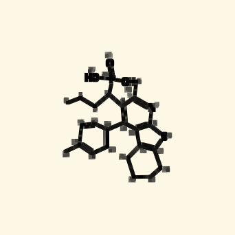 CCCC(c1c(C)nc2sc3c(c2c1-c1ccc(C)cc1)CCCC3)P(=O)(O)O